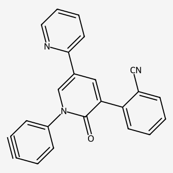 N#Cc1ccccc1-c1cc(-c2ccccn2)cn(-c2cc#ccc2)c1=O